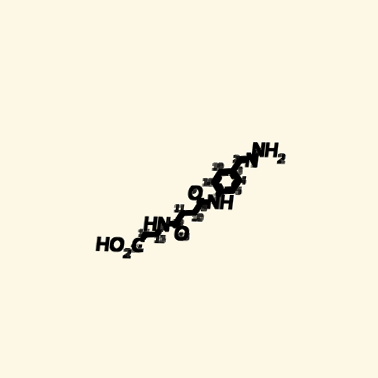 NN=Cc1ccc(NC(=O)CCC(=O)NCCC(=O)O)cc1